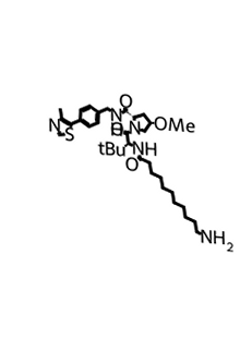 CO[C@@H]1C[C@@H](C(=O)NCc2ccc(-c3scnc3C)cc2)N(C(=O)[C@@H](NC(=O)CCCCCCCCCCN)C(C)(C)C)C1